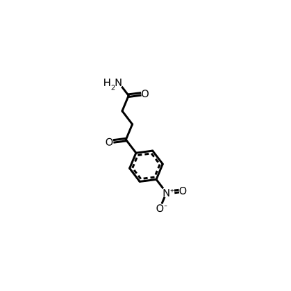 NC(=O)CCC(=O)c1ccc([N+](=O)[O-])cc1